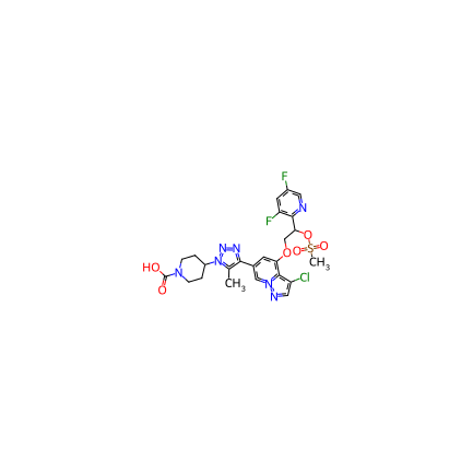 Cc1c(-c2cc(OCC(OS(C)(=O)=O)c3ncc(F)cc3F)c3c(Cl)cnn3c2)nnn1C1CCN(C(=O)O)CC1